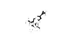 COCc1nn2c(CN3CC(C4CC4(F)F)=CC3=O)c(C(F)F)nc2s1